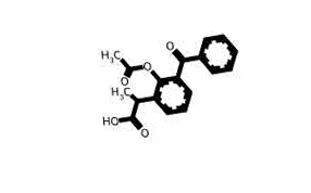 CC(=O)Oc1c(C(=O)c2ccccc2)cccc1C(C)C(=O)O